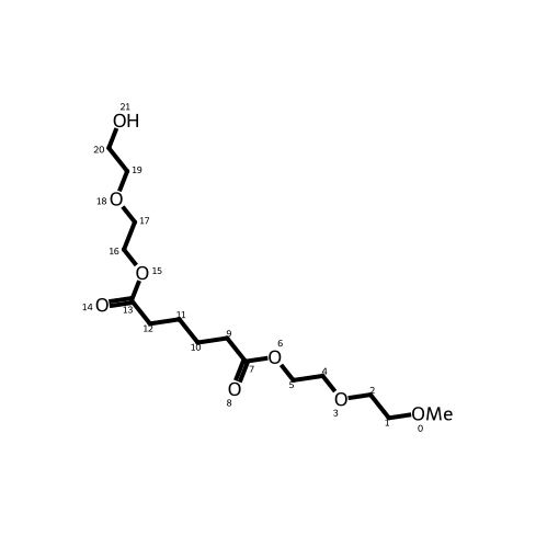 COCCOCCOC(=O)CCCCC(=O)OCCOCCO